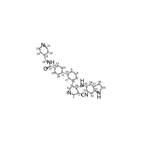 N#Cc1cncc(-c2cccc(-c3ccc(C(=O)NCc4ccncc4)cc3)c2)c1Nc1ccc2[nH]ccc2c1